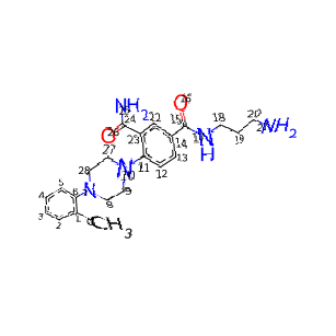 Cc1ccccc1N1CCN(c2ccc(C(=O)NCCCN)cc2C(N)=O)CC1